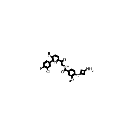 COc1cc(C(=O)NCC(=O)c2ccc(OC)c(-c3ccc(F)c(Cl)c3)n2)ccc1OC1CC(N)C1